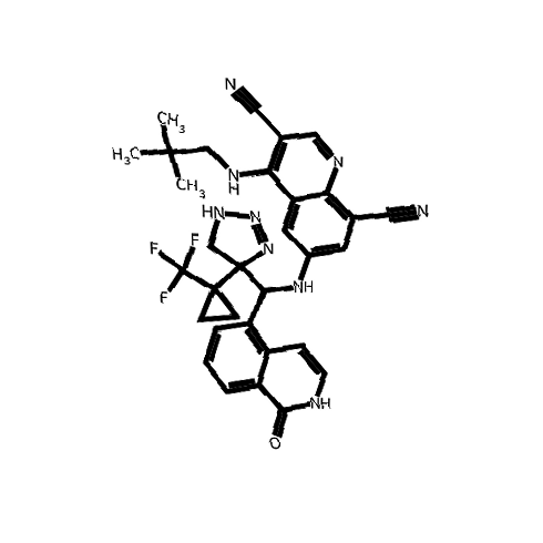 CC(C)(C)CNc1c(C#N)cnc2c(C#N)cc(NC(c3cccc4c(=O)[nH]ccc34)C3(C4(C(F)(F)F)CC4)CNN=N3)cc12